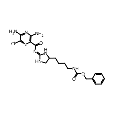 Nc1nc(N)c(C(=O)/N=C2/NCC(CCCCNC(=O)OCc3ccccc3)N2)nc1Cl